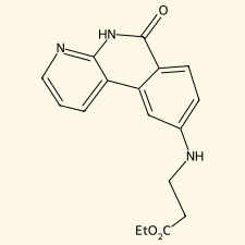 CCOC(=O)CCNc1ccc2c(=O)[nH]c3ncccc3c2c1